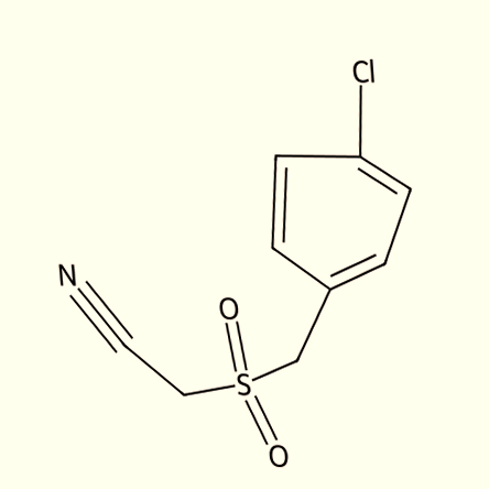 N#CCS(=O)(=O)Cc1ccc(Cl)cc1